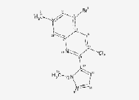 Cc1cc(Br)c2cc(Cl)c(-c3ccnn3C)nc2c1